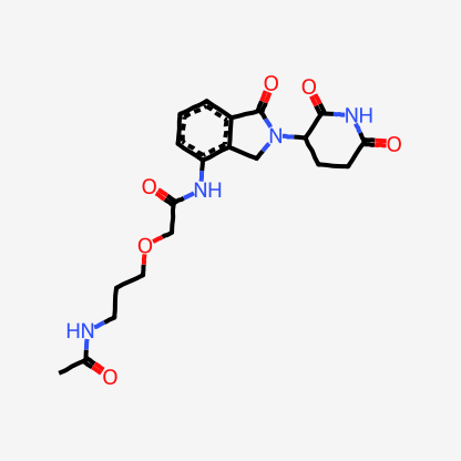 CC(=O)NCCCOCC(=O)Nc1cccc2c1CN(C1CCC(=O)NC1=O)C2=O